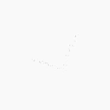 [Cu].[Cu].[In+3].[In+3].[O-2].[O-2].[O-2].[O-2].[O-2].[O-2].[O-2].[Sn+4].[Sn+4].[Ti].[Ti]